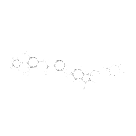 Cc1c(C)n(CCCN2CCN(C)CC2)c2ccc(Oc3cccc(C(=O)Nc4cc(O)c(-n5ccnc5)c(O)c4)c3)cc12